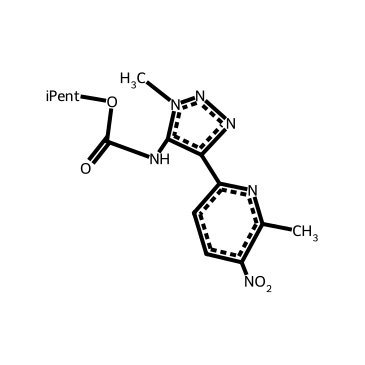 CCCC(C)OC(=O)Nc1c(-c2ccc([N+](=O)[O-])c(C)n2)nnn1C